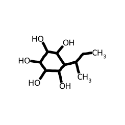 CCC(C)C1C(O)C(O)C(O)C(O)C1O